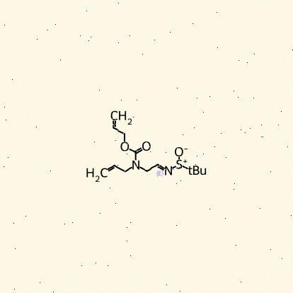 C=CCOC(=O)N(CC=C)C/C=N/[S+]([O-])C(C)(C)C